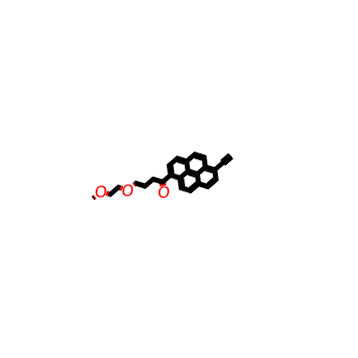 C#Cc1ccc2ccc3c(C(=O)CCCOCCOC)ccc4ccc1c2c43